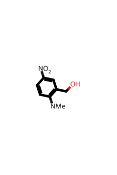 CNc1ccc([N+](=O)[O-])cc1CO